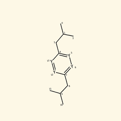 CC(C)C[C]1=[Y][Y]=[C](CC(C)C)[Y]=[Y]1